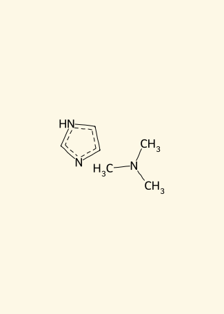 CN(C)C.c1c[nH]cn1